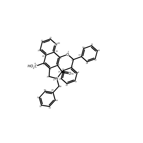 O=C(O)c1c2c(c(OC(c3ccccc3)c3ccccc3)c3ncccc13)C(=O)N(Cc1ccccc1)C2